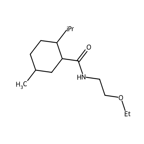 CCOCCNC(=O)C1CC(C)CCC1C(C)C